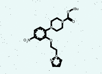 CC(C)(C)OC(=O)N1CCN(c2ccc([N+](=O)[O-])cc2OCCn2cccn2)CC1